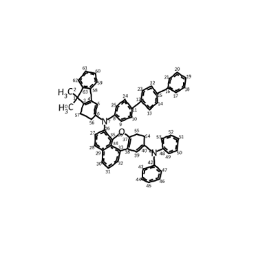 CC1(C)C2=C(C=C(N(c3ccc(-c4ccc(-c5ccccc5)cc4)cc3)c3ccc4cccc5c4c3OC3=C5C=C(N(c4ccccc4)c4ccccc4)CC3)CC2)c2ccccc21